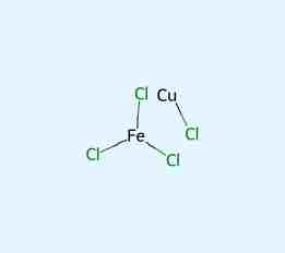 [Cl][Cu].[Cl][Fe]([Cl])[Cl]